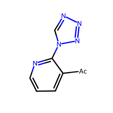 CC(=O)c1cccnc1-n1cnnn1